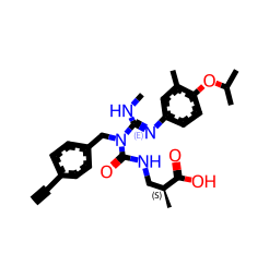 C#Cc1ccc(CN(C(=O)NC[C@H](C)C(=O)O)/C(=N/c2ccc(OC(C)C)c(C)c2)NC)cc1